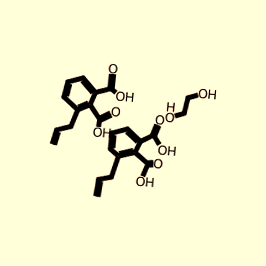 C=CCc1cccc(C(=O)O)c1C(=O)O.C=CCc1cccc(C(=O)O)c1C(=O)O.OCCO